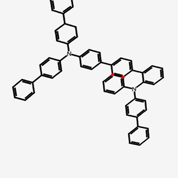 C1=CC(c2ccccc2)CC=C1N(c1ccc(-c2ccccc2)cc1)c1ccc(-c2ccc(-c3ccccc3N(c3ccccc3)c3ccc(-c4ccccc4)cc3)cc2)cc1